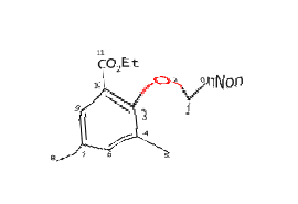 CCCCCCCCCCOc1c(C)cc(C)cc1C(=O)OCC